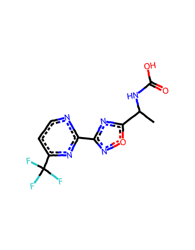 CC(NC(=O)O)c1nc(-c2nccc(C(F)(F)F)n2)no1